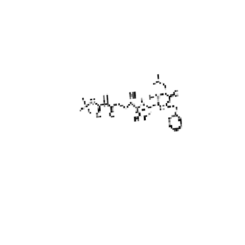 CC(C)C[C@H](NC(=O)[C@H](CO)NC(=O)[C@@H](N)CCC(=O)NC(=O)OC(C)(C)C)C(=O)OCc1ccccc1